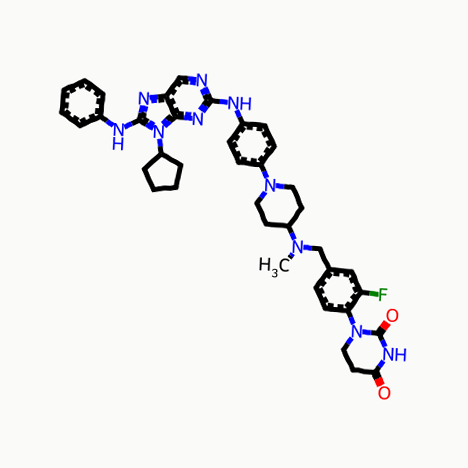 CN(Cc1ccc(N2CCC(=O)NC2=O)c(F)c1)C1CCN(c2ccc(Nc3ncc4nc(Nc5ccccc5)n(C5CCCC5)c4n3)cc2)CC1